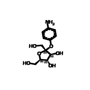 Nc1ccc(O[C@@]2(CO)O[C@H](CO)[C@@H](O)[C@@H]2O)cc1